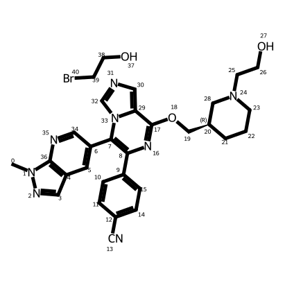 Cn1ncc2cc(-c3c(-c4ccc(C#N)cc4)nc(OC[C@@H]4CCCN(CCO)C4)c4cncn34)cnc21.OCCBr